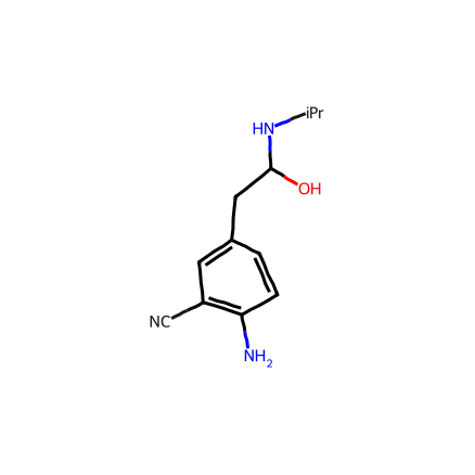 CC(C)NC(O)Cc1ccc(N)c(C#N)c1